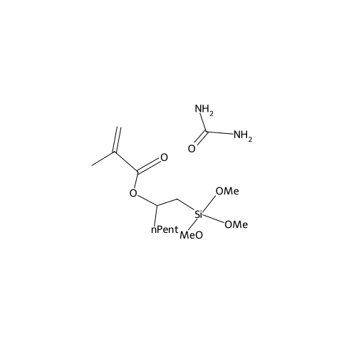 C=C(C)C(=O)OC(CCCCC)C[Si](OC)(OC)OC.NC(N)=O